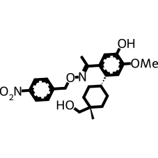 COc1cc([C@H]2CC[C@@](C)(CO)CC2)c(C(C)=NOCc2ccc([N+](=O)[O-])cc2)cc1O